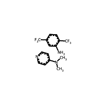 CN(C)c1ccncc1.Nc1cc(C(F)(F)F)ccc1C(F)(F)F